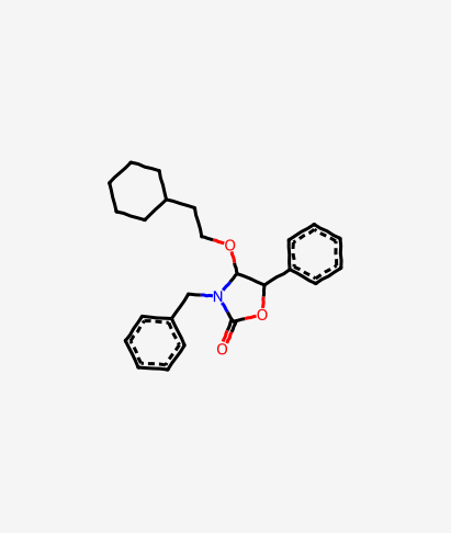 O=C1OC(c2ccccc2)C(OCCC2CCCCC2)N1Cc1ccccc1